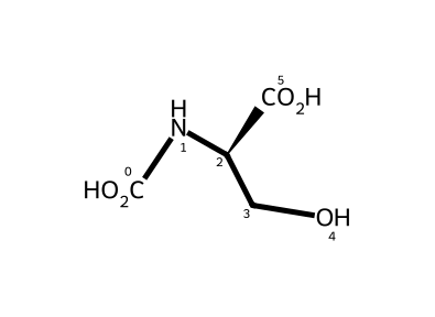 O=C(O)N[C@H](CO)C(=O)O